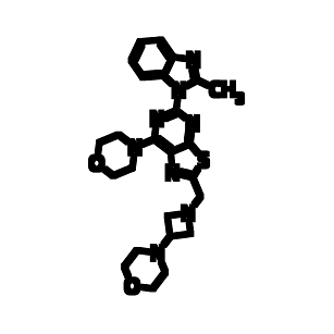 Cc1nc2ccccc2n1-c1nc(N2CCOCC2)c2nc(CN3CC(N4CCOCC4)C3)sc2n1